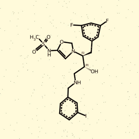 CS(=O)(=O)NC1=CN([C@@H](Cc2cc(F)cc(F)c2)[C@H](O)CNCc2cccc(I)c2)CO1